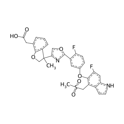 CC1(c2coc(-c3cc(Oc4c(F)cc5[nH]ccc5c4CS(C)(=O)=O)ccc3F)n2)COc2c(CC(=O)O)cccc21